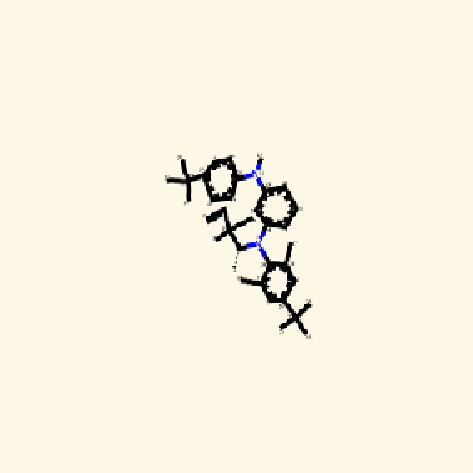 C=CC(C)(C)[C@@H](C)N(c1cccc(N(C)c2ccc(C(C)(C)C)cc2)c1)c1c(C)cc(C(C)(C)C)cc1C